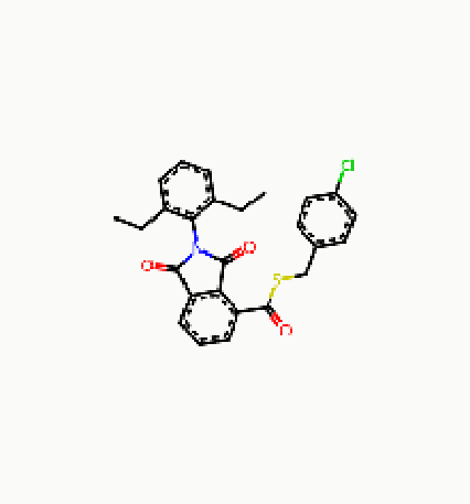 CCc1cccc(CC)c1N1C(=O)c2cccc(C(=O)SCc3ccc(Cl)cc3)c2C1=O